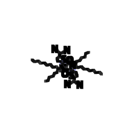 CCCCCCCCCC(CCCCCC)N1C(=O)C2=C(C(=O)N(C(CCCCCC)CCCCCCCCC)/C2=c2\ccc(=C(C#N)C#N)s2)/C1=c1/ccc(=C(C#N)C#N)s1